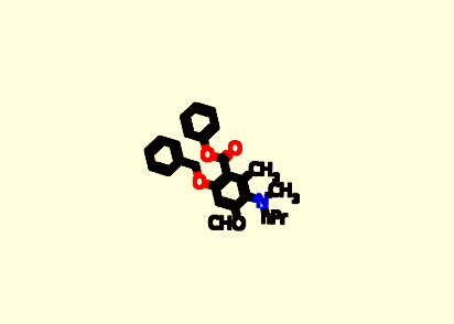 CCCN(C)c1c(C=O)cc(OCc2ccccc2)c(C(=O)Oc2ccccc2)c1C